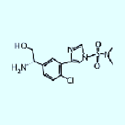 CN(C)S(=O)(=O)n1cnc(-c2cc([C@H](N)CO)ccc2Cl)c1